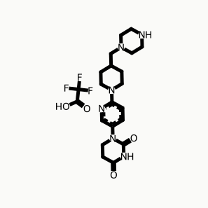 O=C(O)C(F)(F)F.O=C1CCN(c2ccc(N3CCC(CN4CCNCC4)CC3)nc2)C(=O)N1